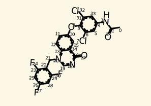 CC(=O)Nc1cc(Cl)c(Oc2ccc3c(c2)c(=O)ncn3Cc2c(F)cc(F)cc2F)c(Cl)c1